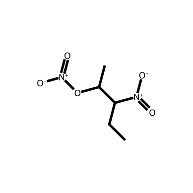 CCC(C(C)O[N+](=O)[O-])[N+](=O)[O-]